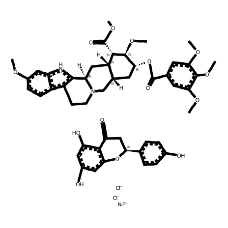 COC(=O)[C@H]1[C@H]2C[C@@H]3c4[nH]c5cc(OC)ccc5c4CCN3C[C@H]2C[C@@H](OC(=O)c2cc(OC)c(OC)c(OC)c2)[C@@H]1OC.O=C1C[C@@H](c2ccc(O)cc2)Oc2cc(O)cc(O)c21.[Cl-].[Cl-].[Ni+2]